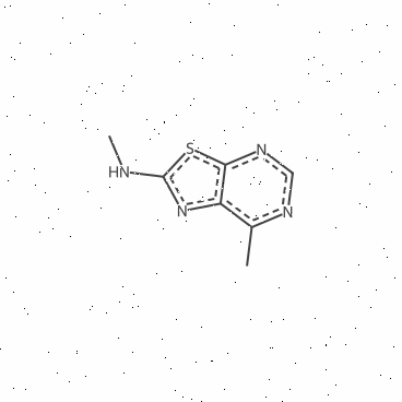 CNc1nc2c(C)ncnc2s1